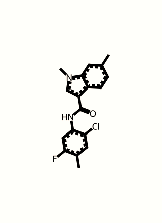 Cc1ccc2c(C(=O)Nc3cc(F)c(C)cc3Cl)cn(C)c2c1